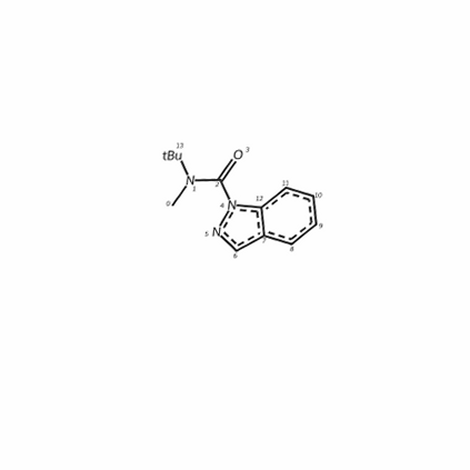 CN(C(=O)n1ncc2ccccc21)C(C)(C)C